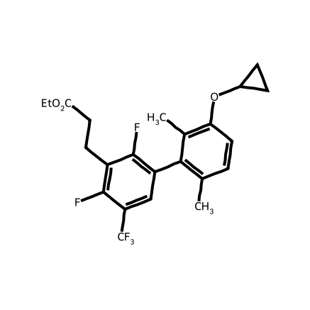 CCOC(=O)CCc1c(F)c(-c2c(C)ccc(OC3CC3)c2C)cc(C(F)(F)F)c1F